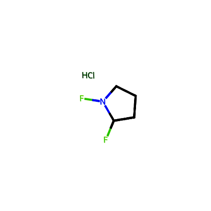 Cl.FC1CCCN1F